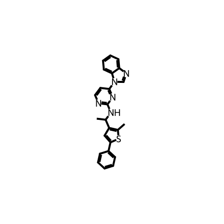 Cc1sc(-c2ccccc2)cc1C(C)Nc1nccc(-n2cnc3ccccc32)n1